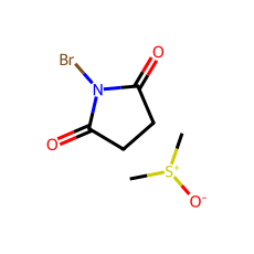 C[S+](C)[O-].O=C1CCC(=O)N1Br